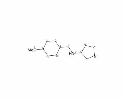 COC1CCC(CNC2CCCC2)CC1